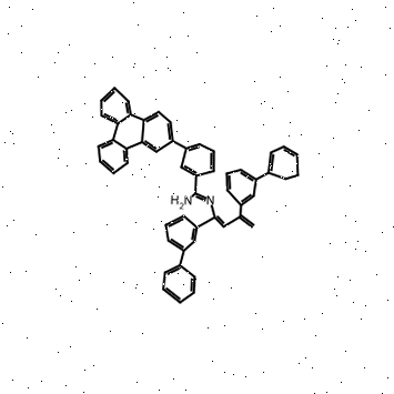 C=C(/C=C(\N=C(/N)c1cccc(-c2ccc3c4ccccc4c4ccccc4c3c2)c1)c1cccc(-c2ccccc2)c1)c1cccc(C2=CC=CCC2)c1